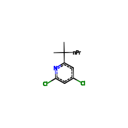 CCCC(C)(C)c1cc(Cl)cc(Cl)n1